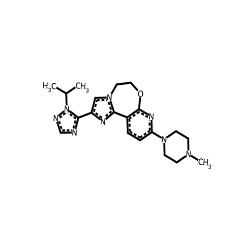 CC(C)n1ncnc1-c1cn2c(n1)-c1ccc(N3CCN(C)CC3)nc1OCC2